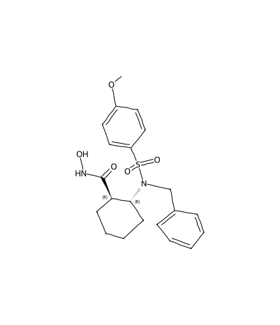 COc1ccc(S(=O)(=O)N(Cc2ccccc2)[C@@H]2CCCC[C@H]2C(=O)NO)cc1